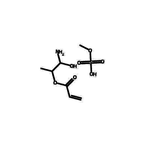 C=CC(=O)OC(C)C(N)O.COS(=O)(=O)O